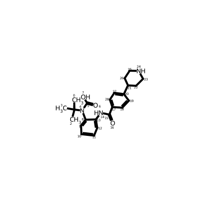 CC(C)(C)N(C(=O)O)c1ccccc1NC(=O)c1ccc(C2CCNCC2)cc1